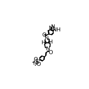 CN(C)S(=O)(=O)c1ccc(C=CC(=O)N2CC[C@@H]3CN(C(=O)c4ccc5[nH]nnc5c4)C[C@@H]3CC2)cc1